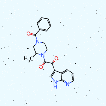 CC1CN(C(=O)c2ccccc2)CCN1C(=O)C(=O)c1c[nH]c2ncccc12